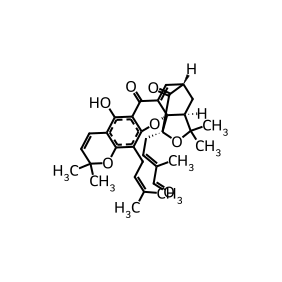 CC(C)=CCc1c2c(c(O)c3c1O[C@]14C(=C[C@@H]5C[C@H]1C(C)(C)O[C@@]4(C/C=C(\C)C=O)C5=O)C3=O)C=CC(C)(C)O2